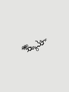 CCCc1nc(CF)ccc1/C=C/C(=O)NCc1ccc(NS(C)(=O)=O)c(C)c1